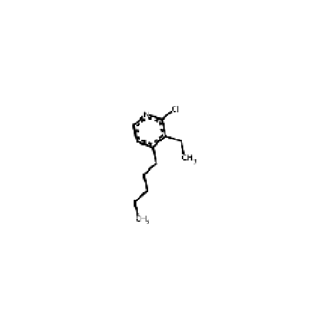 CCCCCc1ccnc(Cl)c1CC